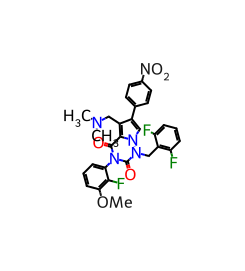 COc1cccc(-n2c(=O)c3c(CN(C)C)c(-c4ccc([N+](=O)[O-])cc4)cn3n(Cc3c(F)cccc3F)c2=O)c1F